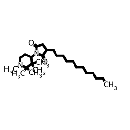 CCCCCCCCCCCCC1CC(=O)N(C2CCN(C)C(C)(C)C2(C)C)C1=O